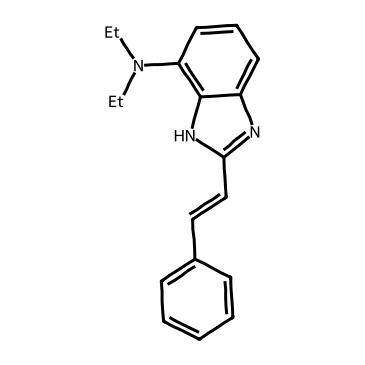 CCN(CC)c1cccc2nc(C=Cc3ccccc3)[nH]c12